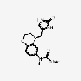 CNC(=O)N(C)c1ccc2c(c1)N(Cc1c[nH]c(=O)[nH]1)CCO2